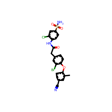 Cc1cc(C#N)ccc1Oc1ccc(CC(=O)Nc2ccc(S(N)(=O)=O)cc2Cl)cc1Br